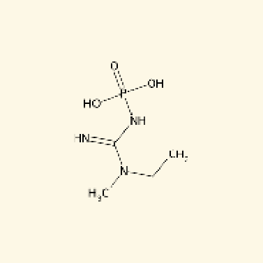 CCN(C)C(=N)NP(=O)(O)O